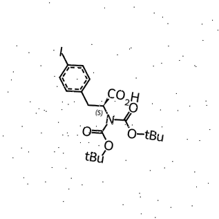 CC(C)(C)OC(=O)N(C(=O)OC(C)(C)C)[C@@H](Cc1ccc(I)cc1)C(=O)O